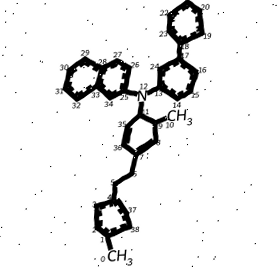 Cc1ccc(CCC2=CC(C)C(N(c3cccc(-c4ccccc4)c3)c3ccc4ccccc4c3)C=C2)cc1